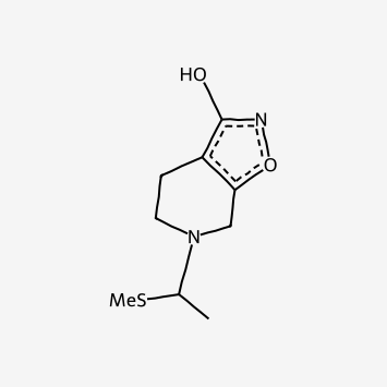 CSC(C)N1CCc2c(O)noc2C1